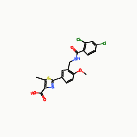 COc1ccc(-c2nc(C(=O)O)c(C)s2)cc1CNC(=O)c1ccc(Cl)cc1Cl